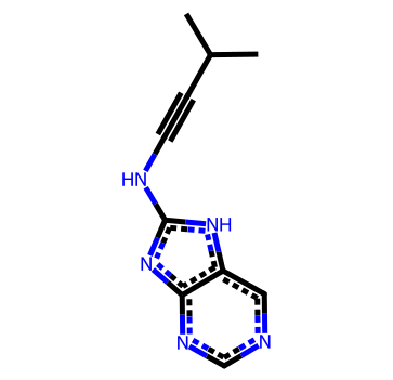 CC(C)C#CNc1nc2ncncc2[nH]1